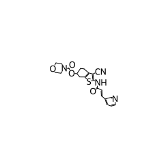 N#Cc1c(NC(=O)C=Cc2cccnc2)sc2c1CCC(OC(=O)N1CCOCC1)C2